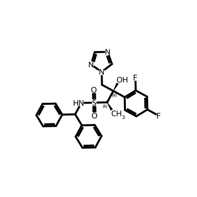 C[C@H]([C@](O)(Cn1cncn1)c1ccc(F)cc1F)S(=O)(=O)NC(c1ccccc1)c1ccccc1